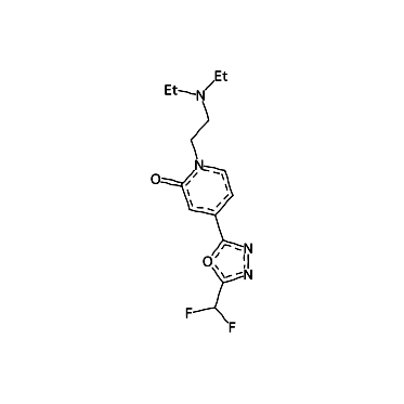 CCN(CC)CCn1ccc(-c2nnc(C(F)F)o2)cc1=O